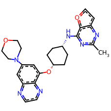 Cc1nc(N[C@H]2CC[C@@H](Oc3cc(N4CCOCC4)cc4nccnc34)CC2)c2occc2n1